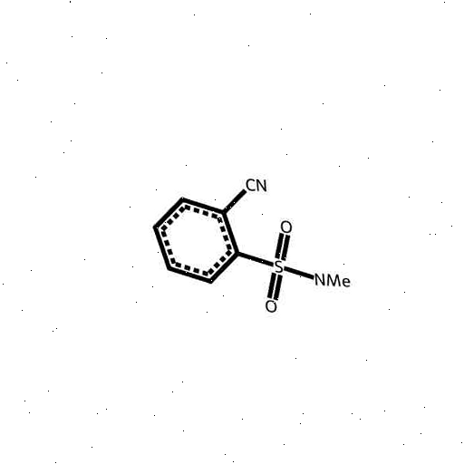 CNS(=O)(=O)c1ccccc1C#N